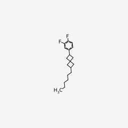 CCCCCCC1CC2(C1)CC(c1ccc(F)c(F)c1)C2